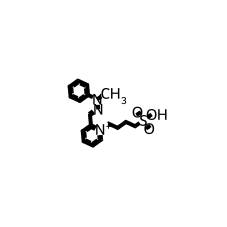 CN(N=Cc1cccc[n+]1CCCCS(=O)(=O)O)c1ccccc1